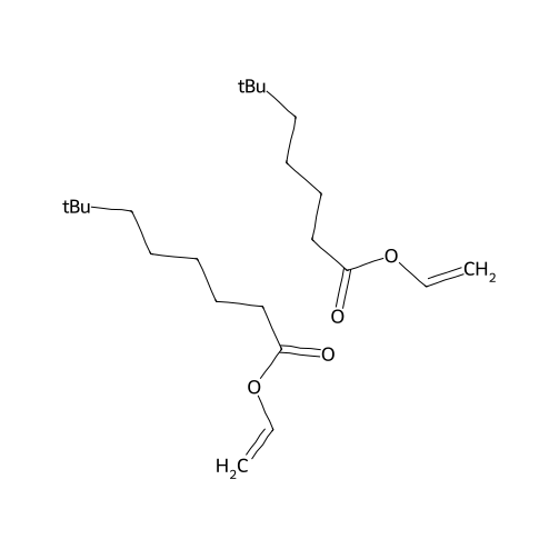 C=COC(=O)CCCCC(C)(C)C.C=COC(=O)CCCCCC(C)(C)C